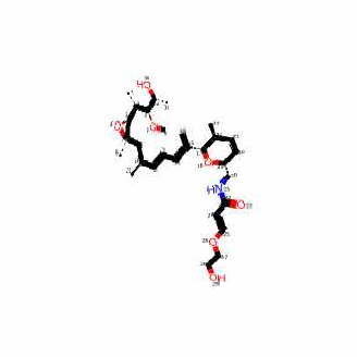 CO[C@H]([C@@H](C)[C@H]1O[C@]1(C)C[C@H](C)/C=C/C=C(\C)[C@H]1O[C@@H](CNC(=O)/C=C/OCCO)CC[C@@H]1C)[C@@H](C)O